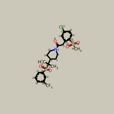 CC(C)(C1CCN(C(=O)Cc2cc(Cl)ccc2S(C)(=O)=O)CC1)S(=O)(=O)c1cccc(C(F)(F)F)c1